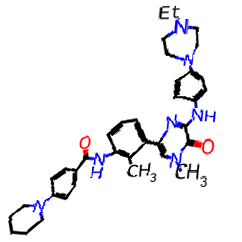 CCN1CCN(c2ccc(Nc3nc(-c4cccc(NC(=O)c5ccc(N6CCCCC6)cc5)c4C)cn(C)c3=O)cc2)CC1